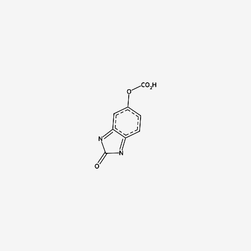 O=C1N=c2ccc(OC(=O)O)cc2=N1